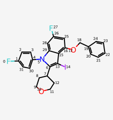 Fc1ccc(-n2c(C3CCOCC3)c(I)c3c(OCc4ccccc4)cc(F)cc32)cc1